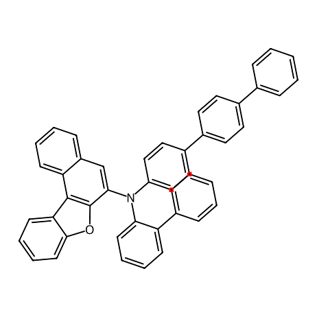 c1ccc(-c2ccc(-c3ccc(N(c4ccccc4-c4ccccc4)c4cc5ccccc5c5c4oc4ccccc45)cc3)cc2)cc1